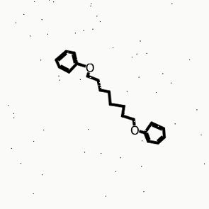 c1ccc(OCCCCCCCCOc2ccccc2)cc1